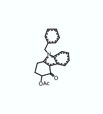 CC(=O)OC1CCc2c(c3ccccc3n2Cc2ccccc2)C1=O